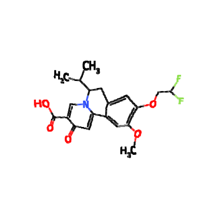 COc1cc2c(cc1OCC(F)F)CC(C(C)C)n1cc(C(=O)O)c(=O)cc1-2